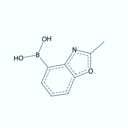 Cc1nc2c(B(O)O)cccc2o1